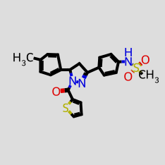 Cc1ccc(C2CC(c3ccc(NS(C)(=O)=O)cc3)=NN2C(=O)c2cccs2)cc1